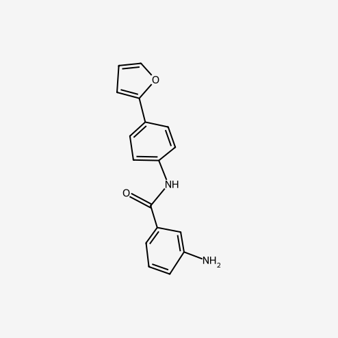 Nc1cccc(C(=O)Nc2ccc(-c3ccco3)cc2)c1